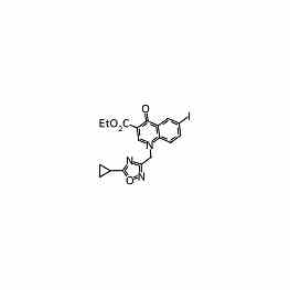 CCOC(=O)c1cn(Cc2noc(C3CC3)n2)c2ccc(I)cc2c1=O